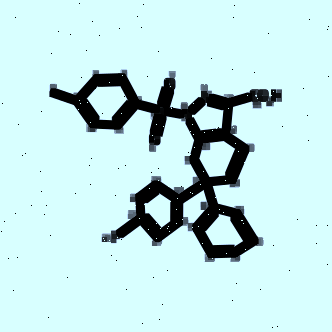 Cc1ccc(S(=O)(=O)n2nc(C(=O)O)c3c2CC(c2ccccc2)(c2ccc(F)cc2)C=C3)cc1